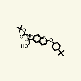 CC(C)(C)OC(=O)N[C@@](C)(CO)c1ccc2nc(OC3CCC(C(C)(C)C)CC3)ccc2c1